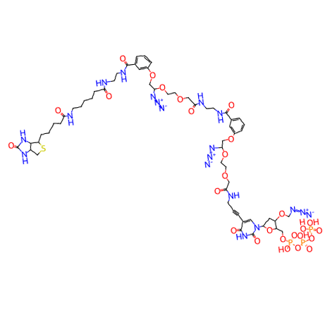 [N-]=[N+]=NCOC1CC(n2cc(C#CCNC(=O)COCCOC(COc3cccc(C(=O)NCCNC(=O)COCCOC(COc4cccc(C(=O)NCCNC(=O)CCCCCNC(=O)CCCCC5SCC6NC(=O)NC65)c4)N=[N+]=[N-])c3)N=[N+]=[N-])c(=O)[nH]c2=O)OC1COP(=O)(O)OP(=O)(O)OP(=O)(O)O